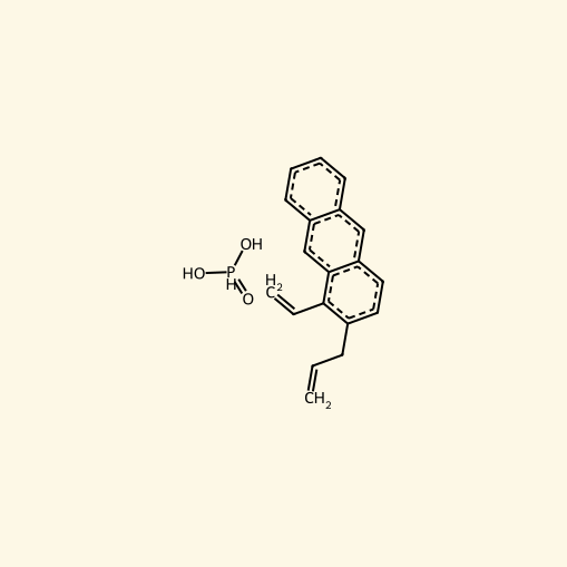 C=CCc1ccc2cc3ccccc3cc2c1C=C.O=[PH](O)O